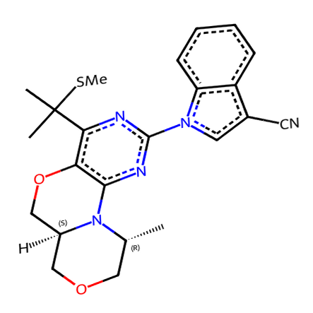 CSC(C)(C)c1nc(-n2cc(C#N)c3ccccc32)nc2c1OC[C@@H]1COC[C@@H](C)N21